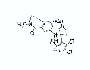 CN1CCc2ccc(NC3(c4c(F)ccc(Cl)c4Cl)CCNC3)cc2C1=O.Cl